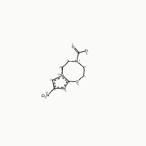 CCC(=O)N1CCOc2nc([N+](=O)[O-])cn2CC1